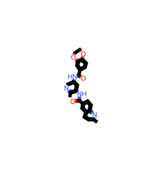 Cc1ccc2cc(C(=O)Nc3cc(NC(=O)c4ccc5c(c4)OCCO5)cnc3C)ccc2n1